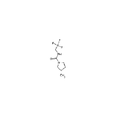 C[C@H]1CCN(C(=O)NCC(F)(F)F)C1